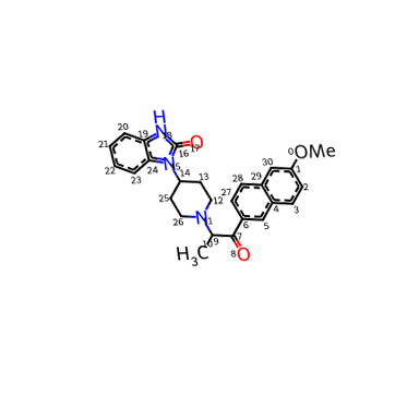 COc1ccc2cc(C(=O)C(C)N3CCC(n4c(=O)[nH]c5ccccc54)CC3)ccc2c1